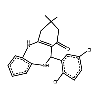 CC1(C)CC(=O)C2=C(C1)Nc1ccccc1NC2c1cc(Cl)ccc1Cl